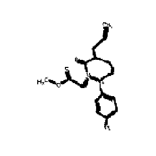 C=CCC1CC[C@@H](c2ccc(Cl)cc2)N(CC(=O)OC)C1=O